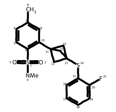 CNS(=O)(=O)c1ccc(C)cc1C12CC(Sc3ccccc3F)(C1)C2